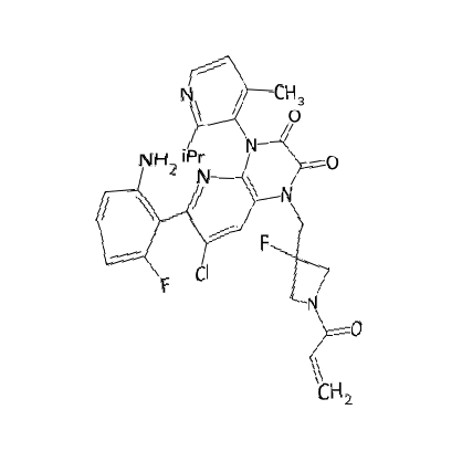 C=CC(=O)N1CC(F)(Cn2c(=O)c(=O)n(-c3c(C)ccnc3C(C)C)c3nc(-c4c(N)cccc4F)c(Cl)cc32)C1